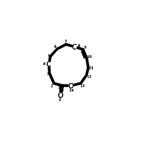 O=C1CCCCCCCC=CCCCO1